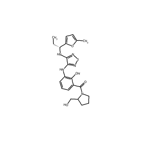 CC[C@@H](Nc1nsnc1Nc1cccc(C(=O)N2CCCC2CO)c1O)c1ccc(C)o1